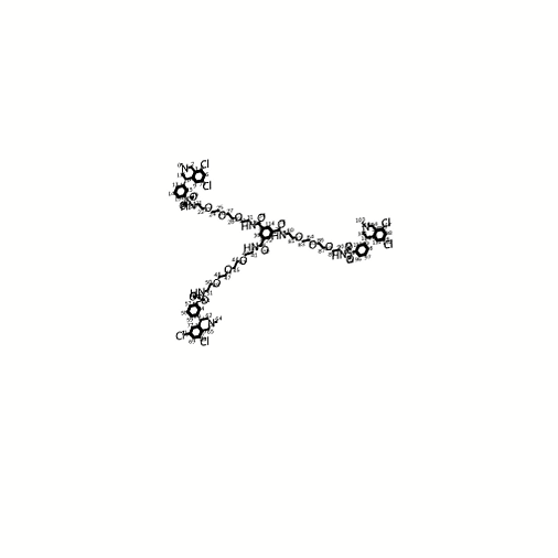 CN1Cc2c(Cl)cc(Cl)cc2[C@H](c2cccc(S(=O)(=O)NCCOCCOCCOCCNC(=O)c3cc(C(=O)NCCOCCOCCOCCNS(=O)(=O)c4cccc([C@@H]5CN(C)Cc6c(Cl)cc(Cl)cc65)c4)cc(C(=O)NCCOCCOCCOCCNS(=O)(=O)c4cccc([C@@H]5CN(C)Cc6c(Cl)cc(Cl)cc65)c4)c3)c2)C1